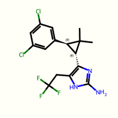 CC1(C)[C@H](c2cc(Cl)cc(Cl)c2)[C@H]1c1nc(N)[nH]c1CC(F)(F)F